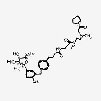 CS[C@H]1O[C@@H](c2ccc(C)c(Cc3ccc(CCCC(=O)NCC(=O)NCCN(C)CC(=O)N4CCCC4)cc3)c2)[C@H](O)[C@@H](O)[C@@H]1O